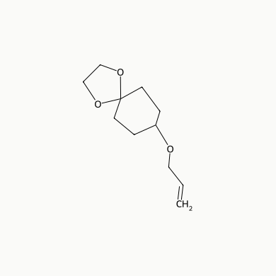 C=CCOC1CCC2(CC1)OCCO2